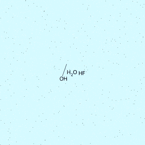 CO.F.O